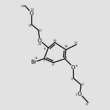 COCCOc1cc(Br)c(OCCOC)cc1C